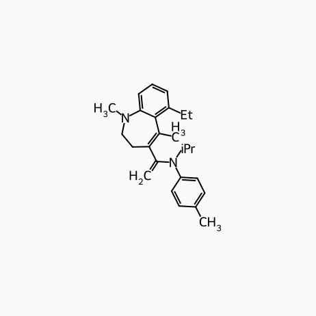 C=C(C1=C(C)c2c(CC)cccc2N(C)CC1)N(c1ccc(C)cc1)C(C)C